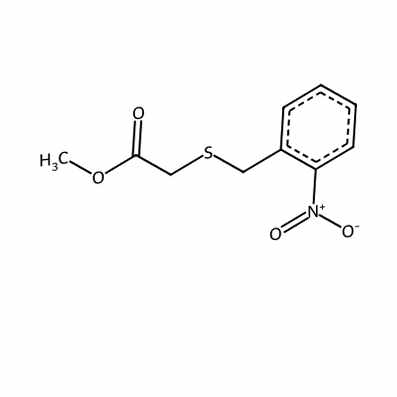 COC(=O)CSCc1ccccc1[N+](=O)[O-]